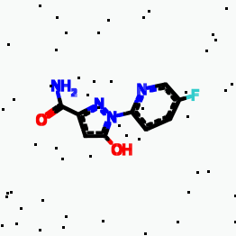 NC(=O)c1cc(O)n(-c2ccc(F)cn2)n1